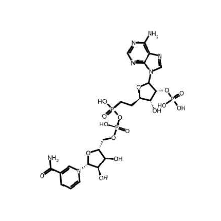 NC(=O)C1=CN([C@@H]2O[C@H](COP(=O)(O)OP(=O)(O)CC[C@H]3OC(n4cnc5c(N)ncnc54)[C@H](OP(=O)(O)O)[C@@H]3O)[C@@H](O)[C@H]2O)C=CC1